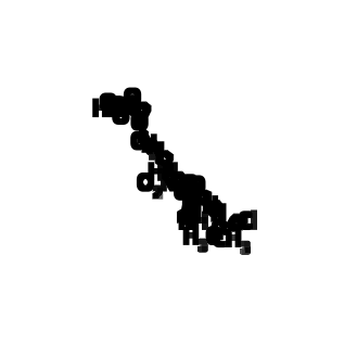 CC1(C)CCC(CN2CCN(c3ccc(C(=O)NS(=O)(=O)c4ccc(NCC5CCC(N6CCN(C(=O)CCCOc7cccc8c7CN(C7CCC(=O)NC7=O)C8=O)CC6)CC5)c([N+](=O)[O-])c4)c(Oc4cnc5[nH]ccc5c4)c3)CC2)=C(c2ccc(Cl)cc2)C1